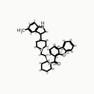 Cc1ccc2c(c1)C(C1CCN(CC[C@@H]3CCCCN3C(=O)c3cccc4c3oc3ccccc34)CC1)CN2